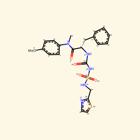 COc1ccc(N(C)C(=O)[C@H](Cc2ccccc2)NC(=O)NS(=O)(=O)NCc2nccs2)cc1